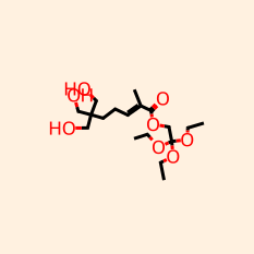 CCOC(COC(=O)C(C)=CCCC(CO)(CO)CO)(OCC)OCC